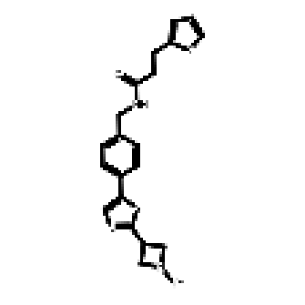 CC(C)N1CC(c2ncc(-c3ccc(CNC(=O)CCc4cccs4)cc3)s2)C1